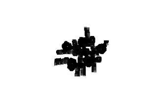 COc1ccc(NC(=S)Nc2cc(-c3c(NC(=S)Nc4ccc(F)cc4)cc(-c4c(NC(=O)Nc5ccccc5OC)ccc5[nH]c(=O)[nH]c45)c4[nH]c(=O)[nH]c34)c3[nH]c(=O)[nH]c3c2)cc1